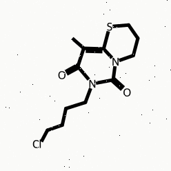 Cc1c2n(c(=O)n(CCCCCl)c1=O)CCCS2